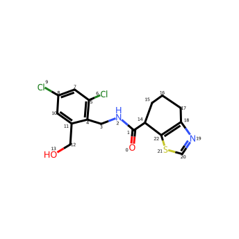 O=C(NCc1c(Cl)cc(Cl)cc1CO)C1CCCc2ncsc21